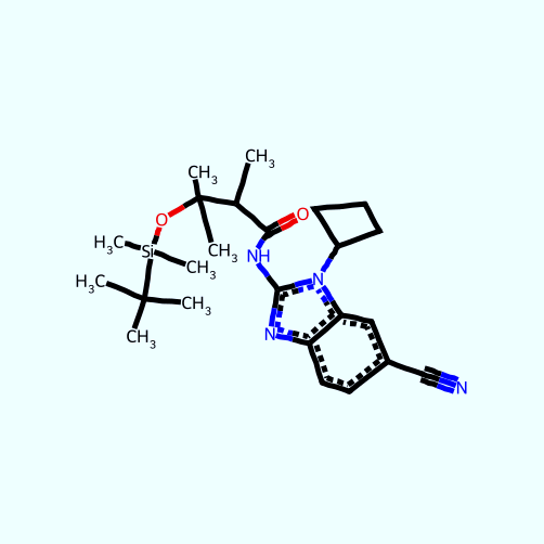 CC(C(=O)Nc1nc2ccc(C#N)cc2n1C1CCC1)C(C)(C)O[Si](C)(C)C(C)(C)C